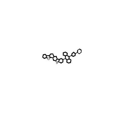 C1=CCCC(c2ccc(-c3c4ccccc4c(-c4ccc5sc6cc7c(ccc8c9ccccc9oc78)cc6c5c4)c4ccccc34)cc2)=C1